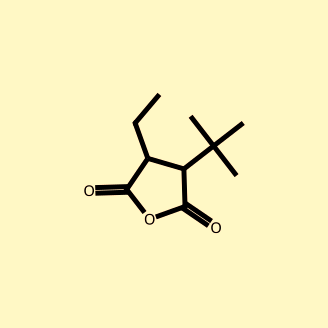 CCC1C(=O)OC(=O)C1C(C)(C)C